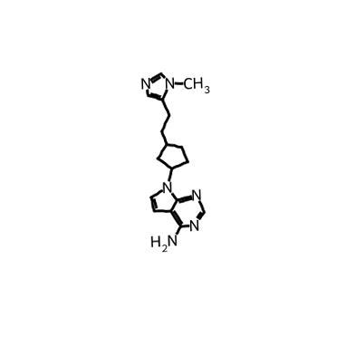 Cn1cncc1CCC1CCC(n2ccc3c(N)ncnc32)C1